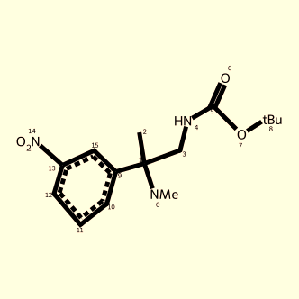 CNC(C)(CNC(=O)OC(C)(C)C)c1cccc([N+](=O)[O-])c1